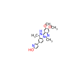 COc1cc2nc(C)nc(N[C@H](C)c3cccc(-c4ccc(O)nc4)c3)c2cc1OC